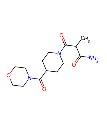 C[C](C(N)=O)C(=O)N1CCC(C(=O)N2CCOCC2)CC1